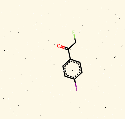 O=C(CF)c1ccc(I)cc1